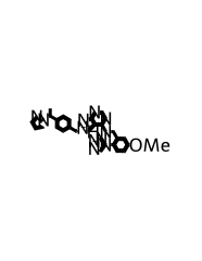 COc1ccc(-n2cnnn2)c(CNc2ncnc3nn(Cc4ccc(C(C)n5cccn5)cc4)cc23)c1